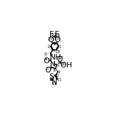 C[C@@H](NC(=O)N1C(=O)[C@H](Cc2cncs2)[C@H]1C(=O)O)c1ccc2c(c1)OC(F)(F)O2